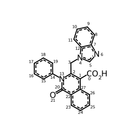 O=C(O)c1c(Cn2cnc3ccccc32)n(-c2ccccc2)c(=O)c2ccccc12